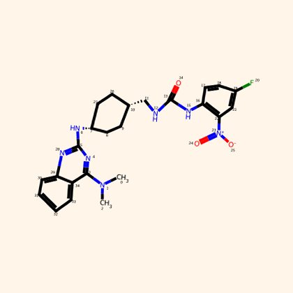 CN(C)c1nc(N[C@H]2CC[C@@H](CNC(=O)Nc3ccc(F)cc3[N+](=O)[O-])CC2)nc2ccccc12